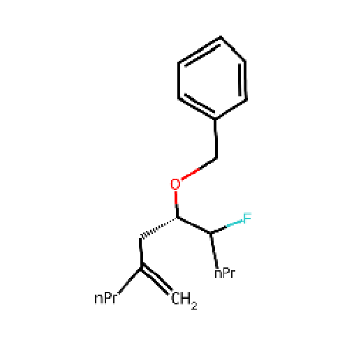 C=C(CCC)C[C@H](OCc1ccccc1)C(F)CCC